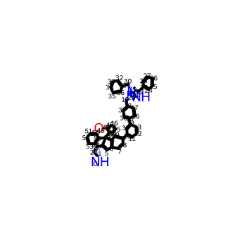 N=C/C=C\C1=Cc2ccc(-c3cccc(-c4ccc(CN5NC(c6ccccc6)N5Cc5ccccc5)cc4)c3)cc2C12c1ccccc1Oc1ccccc12